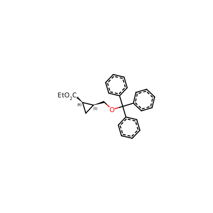 CCOC(=O)[C@@H]1C[C@@H]1COC(c1ccccc1)(c1ccccc1)c1ccccc1